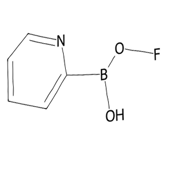 OB(OF)c1ccccn1